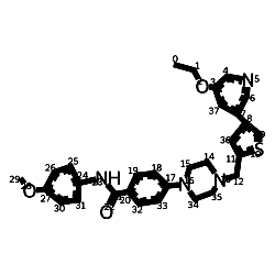 CCOc1cncc(-c2csc(CN3CCN(c4ccc(C(=O)Nc5ccc(OC)cc5)cc4)CC3)c2)c1